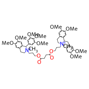 COc1ccc(CC2c3cc(OC)c(OC)cc3CC[N+]2(C)CCCOC(=O)CCC(=O)OCCC[N+]2(C)CCc3cc(OC)c(OC)cc3C2c2cc(OC)c(OC)c(OC)c2)cc1OC